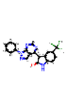 O=C1Nc2ccc(C(F)(F)F)cc2C1c1ncnc2c1cnn2-c1ccccc1